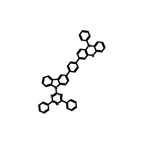 c1ccc(-c2nc(-c3ccccc3)nc(-n3c4ccccc4c4cc(-c5ccc(-c6ccc7c(c6)Sc6ccccc6N7c6ccccc6)cc5)ccc43)n2)cc1